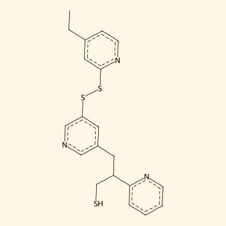 CCc1ccnc(SSc2cncc(CC(CS)c3ccccn3)c2)c1